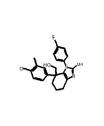 Cc1cc(C2(CO)CCCc3nc(S)n(-c4ccc(F)cc4)c32)ccc1Cl